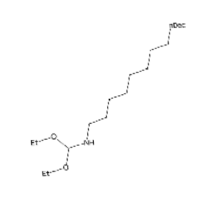 CCCCCCCCCCCCCCCCCCNC(OCC)OCC